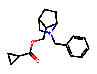 O=C(OCC1C2CCC1N(Cc1ccccc1)C2)C1CC1